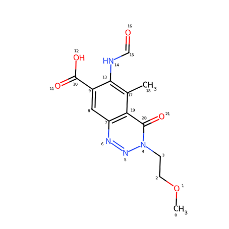 COCCn1nnc2cc(C(=O)O)c(NC=O)c(C)c2c1=O